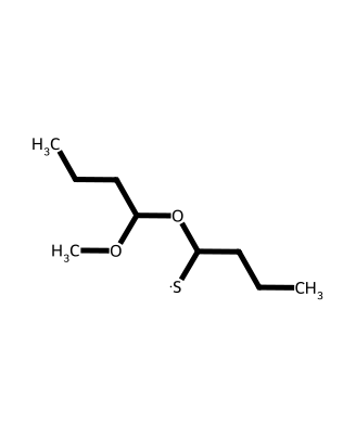 CCCC([S])OC(CCC)OC